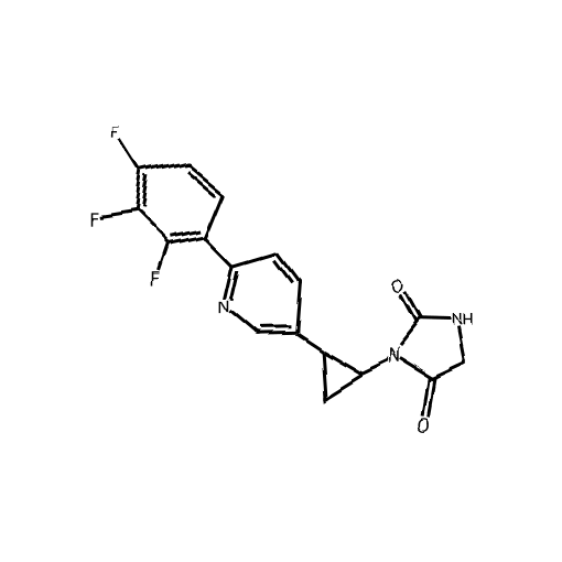 O=C1CNC(=O)N1C1CC1c1ccc(-c2ccc(F)c(F)c2F)nc1